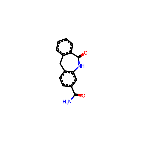 NC(=O)c1ccc2c(c1)NC(=O)c1ccccc1C2